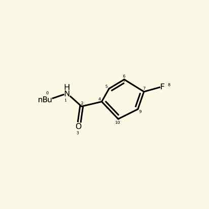 CCCCNC(=O)c1c[c]c(F)cc1